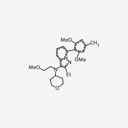 CCc1nn2c(-c3c(OC)cc(C)cc3OC)cccc2c1N(CCOC)C1CCOCC1